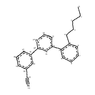 CCCCCc1ccccc1-c1ccnc(-c2cccc(C#N)c2)n1